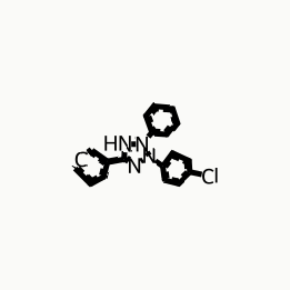 Clc1ccc(N2N=C(c3ccccc3)NN2c2ccccc2)cc1